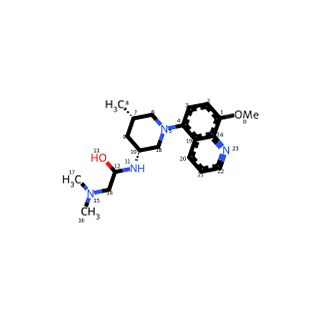 COc1ccc(N2C[C@@H](C)C[C@@H](NC(O)CN(C)C)C2)c2cccnc12